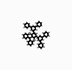 c1ccc(-c2cc(-c3ccccc3)cc(-c3cc(-c4cc(-c5ccccc5)cc(-c5ccccc5)c4)c4c5c3Oc3ccccc3B5c3ccccc3O4)c2)cc1